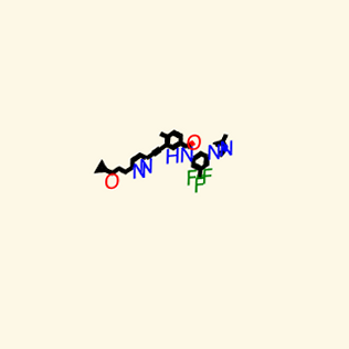 Cc1cn(-c2cc(NC(=O)c3ccc(C)c(C#Cc4ccc(CCC(=O)C5CC5)nn4)c3)cc(C(F)(F)F)c2)cn1